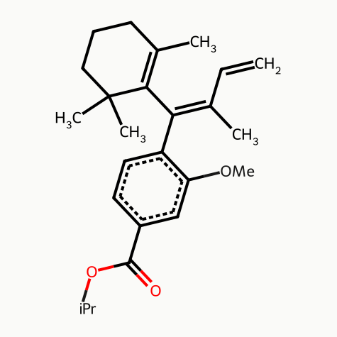 C=C/C(C)=C(\C1=C(C)CCCC1(C)C)c1ccc(C(=O)OC(C)C)cc1OC